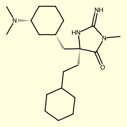 CN1C(=N)N[C@](CCC2CCCCC2)(C[C@H]2CCC[C@@H](N(C)C)C2)C1=O